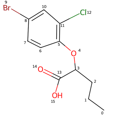 CCCC(Oc1ccc(Br)cc1Cl)C(=O)O